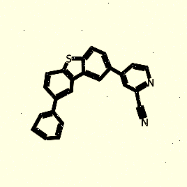 N#Cc1cc(-c2ccc3sc4ccc(-c5ccccc5)cc4c3c2)ccn1